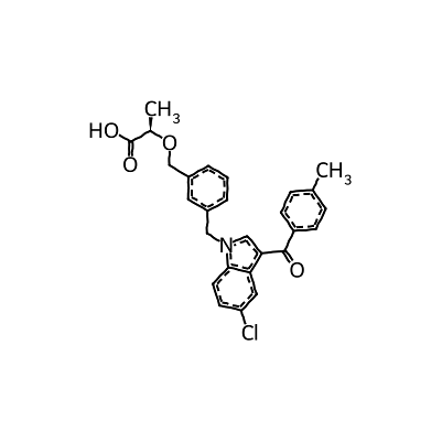 Cc1ccc(C(=O)c2cn(Cc3cccc(CO[C@H](C)C(=O)O)c3)c3ccc(Cl)cc23)cc1